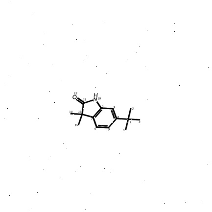 CC(C)(C)c1ccc2c(c1)NC(=O)C2(C)C